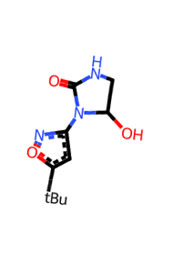 CC(C)(C)c1cc(N2C(=O)NCC2O)no1